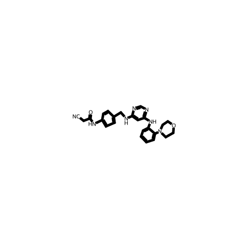 N#CCC(=O)Nc1ccc(CNc2cc(Nc3ccccc3N3CCOCC3)ncn2)cc1